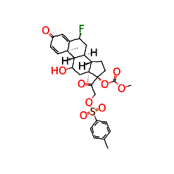 COC(=O)O[C@]1(C(=O)COS(=O)(=O)c2ccc(C)cc2)CC[C@H]2[C@@H]3C[C@H](F)C4=CC(=O)C=C[C@]4(C)[C@H]3C(O)C[C@@]21C